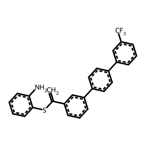 C=C(Sc1ccccc1N)c1cccc(-c2ccc(-c3cccc(C(F)(F)F)c3)cc2)c1